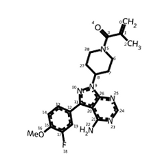 C=C(C)C(=O)N1CCC(n2nc(-c3ccc(OC)c(F)c3)c3c(N)ncnc32)CC1